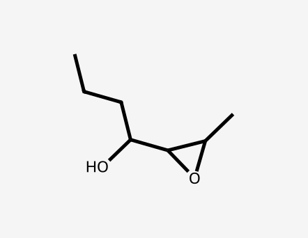 CCCC(O)C1OC1C